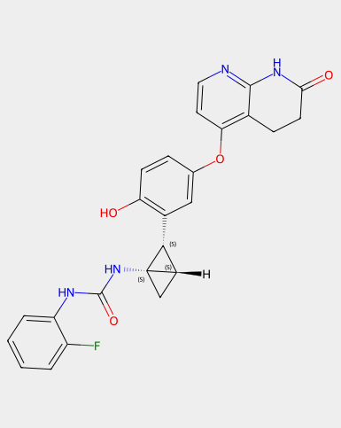 O=C1CCc2c(Oc3ccc(O)c([C@@H]4[C@@H]5C[C@@]45NC(=O)Nc4ccccc4F)c3)ccnc2N1